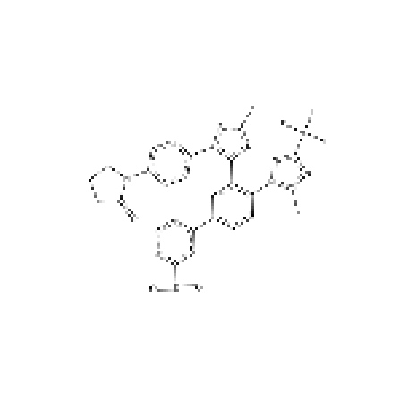 Cc1nc(-c2cc(-c3cccc(S(C)(=O)=O)c3)ccc2-n2cc(C(F)(F)F)nc2C)c(-c2ccc(N3CCCC3=O)cc2)o1